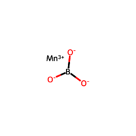 [Mn+3].[O-]B([O-])[O-]